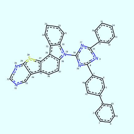 c1ccc(-c2ccc(-c3nc(-c4ccccc4)nc(-n4c5ccccc5c5c6sc7ncncc7c6ccc54)n3)cc2)cc1